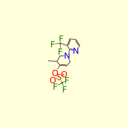 CC1CN(c2ncccc2C(F)(F)F)CC=C1OS(=O)(=O)C(F)(F)F